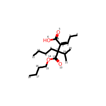 CCC=C(C(=O)O)C(CCCC)(C(=O)OCCCC)C(C)C